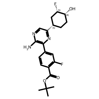 CC(C)(C)OC(=O)c1ccc(-c2nc([C@H]3CC[C@@H](O)[C@@H](F)C3)cnc2N)cc1F